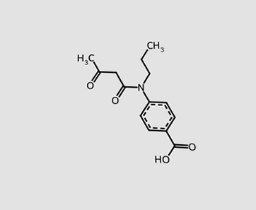 CCCN(C(=O)CC(C)=O)c1ccc(C(=O)O)cc1